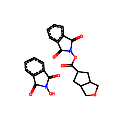 O=C(ON1C(=O)c2ccccc2C1=O)C1CC2COCC2C1.O=C1c2ccccc2C(=O)N1O